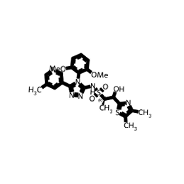 COc1cccc(OC)c1-n1c(NS(=O)(=O)[C@H](C)C(O)c2nc(C)c(C)s2)nnc1-c1cncc(C)c1